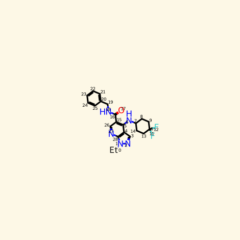 CCn1ncc2c(NC3CCC(F)(F)CC3)c(C(=O)NCc3ccccc3)cnc21